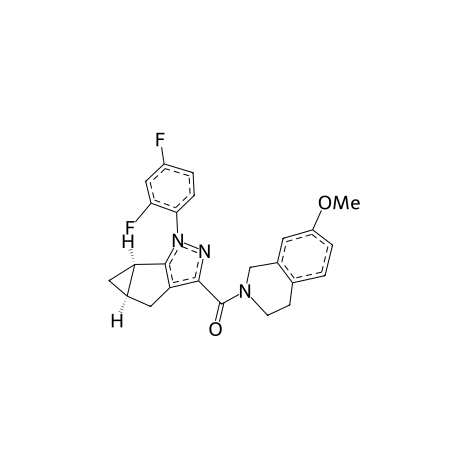 COc1ccc2c(c1)CN(C(=O)c1nn(-c3ccc(F)cc3F)c3c1C[C@H]1C[C@@H]31)CC2